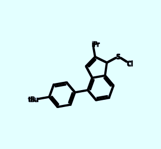 CC(C)C1=Cc2c(-c3ccc(C(C)(C)C)cc3)cccc2C1SCl